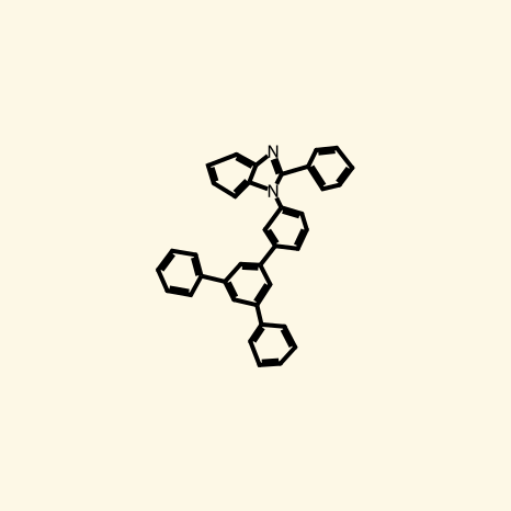 c1ccc(-c2cc(-c3ccccc3)cc(-c3cccc(-n4c(-c5ccccc5)nc5ccccc54)c3)c2)cc1